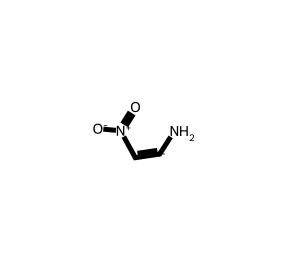 N/[C]=C\[N+](=O)[O-]